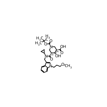 COCCCn1cc(CN(C(=O)[C@H]2CN(C(=O)OC(C)(C)C)C[C@@H](C(=O)O)[C@H]2O)C2CC2)c2ccccc21